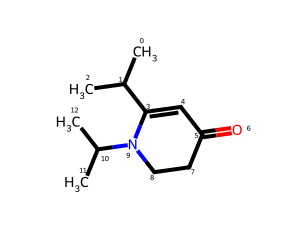 CC(C)C1=CC(=O)CCN1C(C)C